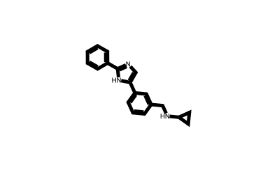 c1ccc(-c2ncc(-c3cccc(CNC4CC4)c3)[nH]2)cc1